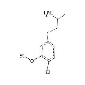 CCOc1cc(CCC(C)N)ccc1Cl